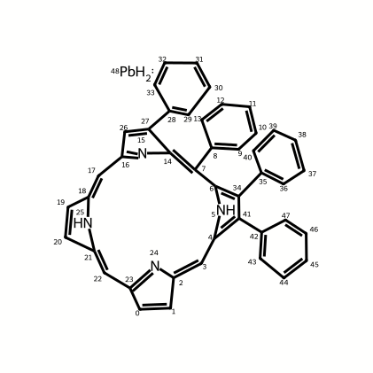 C1=Cc2cc3[nH]c(c(-c4ccccc4)c4nc(cc5ccc(cc1n2)[nH]5)C=C4c1ccccc1)c(-c1ccccc1)c3-c1ccccc1.[PbH2]